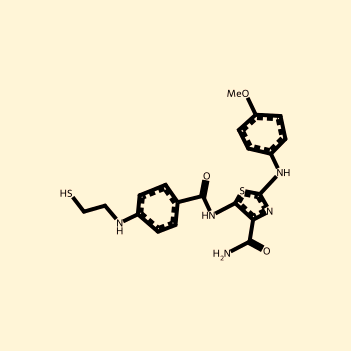 COc1ccc(Nc2nc(C(N)=O)c(NC(=O)c3ccc(NCCS)cc3)s2)cc1